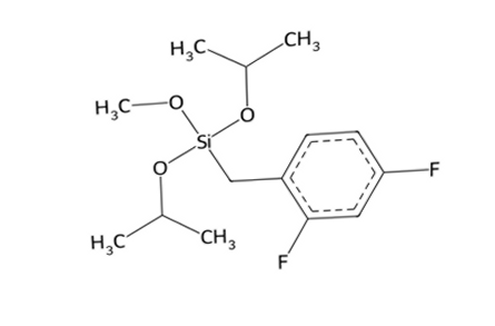 CO[Si](Cc1ccc(F)cc1F)(OC(C)C)OC(C)C